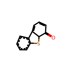 O=C1C=CC=C2c3ccccc3SC12